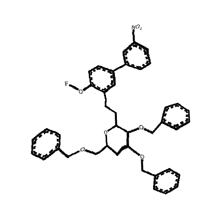 O=[N+]([O-])c1cccc(-c2ccc(OF)c(CCC3OC(COCc4ccccc4)CC(OCc4ccccc4)C3OCc3ccccc3)c2)c1